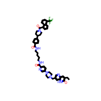 CCc1cc2ncc(CN3CCN(c4ccc(C(=O)NCCCCCNC(=O)c5ccc(C6CCN(C(=O)c7cccc8c(C(F)(F)F)cccc78)CC6)cc5)nc4)CC3)cc2[nH]c1=O